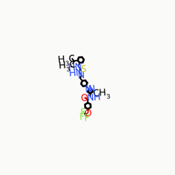 Cc1nn(-c2ccc(/C=N/NC(=S)Nc3ccccc3C(C)C)cc2)cc1NC(=O)c1ccc(OC(F)(F)F)cc1